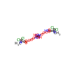 CN1Cc2c(Cl)cc(Cl)cc2[C@H](c2ccc(S(=O)(=O)CCCOCCOCCOCCNC(=O)[C@H](O)[C@@H](O)C(=O)NCCOCCOCCOCCNS(=O)(=O)c3ccc([C@@H]4CN(C)Cc5c(Cl)cc(Cl)cc54)cc3)cc2)C1